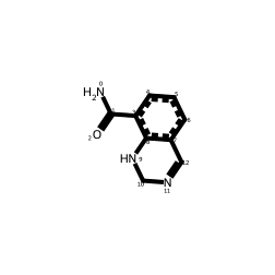 NC(=O)c1cccc2c1NCN=C2